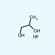 CC(O)CO.F